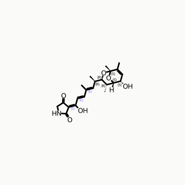 CC1=C[C@H](O)[C@H]2O[C@]1(C)O[C@H]([C@H](C)/C=C(C)/C=C/C(O)=C1\C(=O)CNC1=O)[C@H]2C